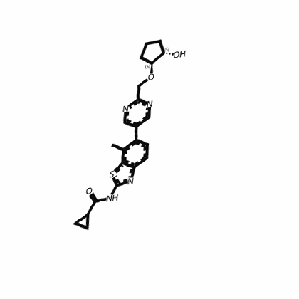 Cc1c(-c2cnc(CO[C@H]3CCC[C@@H]3O)nc2)ccc2nc(NC(=O)C3CC3)sc12